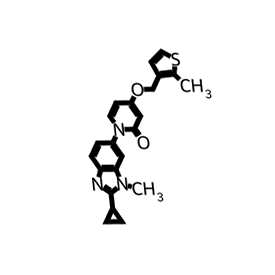 Cc1sccc1COc1ccn(-c2ccc3nc(C4CC4)n(C)c3c2)c(=O)c1